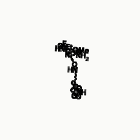 CC[C@@H]1[C@H](F)C(=O)N[C@@H]1COc1ncc(C#CC2CCC(CNCCCCCc3cccc(Oc4cccc5c4C(=O)NC(=O)C5=O)c3)CC2)c2cc(C(N)=O)c(OC)cc12